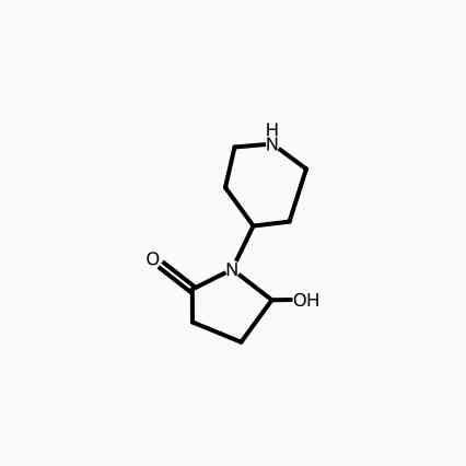 O=C1CCC(O)N1C1CCNCC1